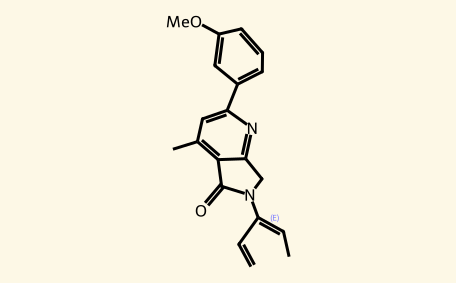 C=C/C(=C\C)N1Cc2nc(-c3cccc(OC)c3)cc(C)c2C1=O